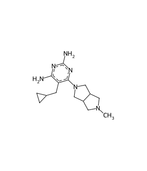 CN1CC2CN(c3nc(N)nc(N)c3CC3CC3)CC2C1